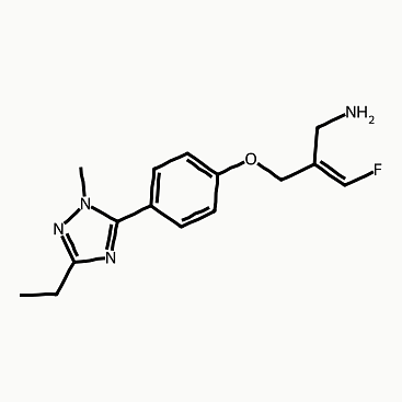 CCc1nc(-c2ccc(OC/C(=C/F)CN)cc2)n(C)n1